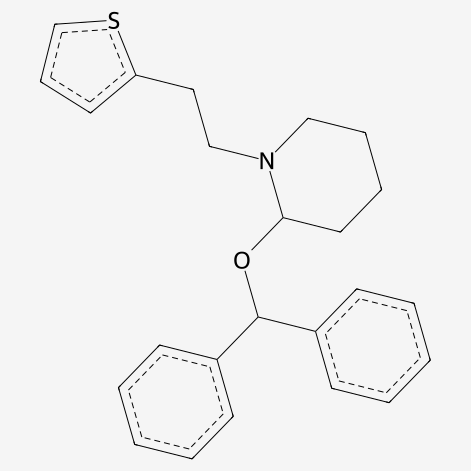 c1ccc(C(OC2CCCCN2CCc2cccs2)c2ccccc2)cc1